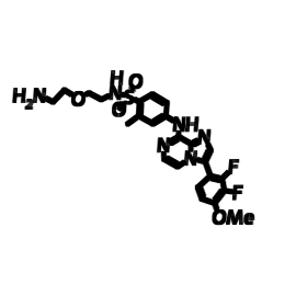 COc1ccc(-c2cnc3c(Nc4ccc(S(=O)(=O)NCCOCCN)c(C)c4)nccn23)c(F)c1F